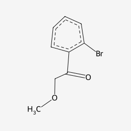 COCC(=O)c1ccccc1Br